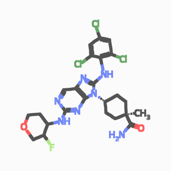 C[C@]1(C(N)=O)CC[C@H](n2c(Nc3c(Cl)cc(Cl)cc3Cl)nc3cnc(NC4CCOCC4F)nc32)CC1